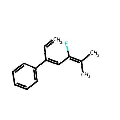 C=C/C(=C\C(F)=C(C)C)c1ccccc1